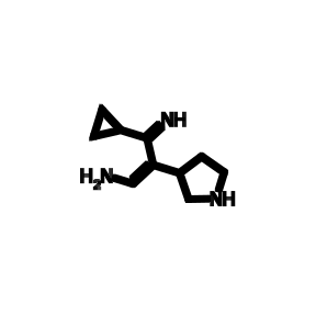 N=C(/C(=C\N)C1CCNC1)C1CC1